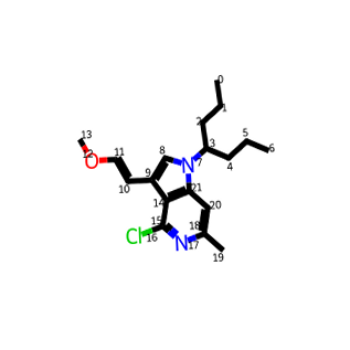 CCCC(CCC)n1cc(/C=C/OC)c2c(Cl)nc(C)cc21